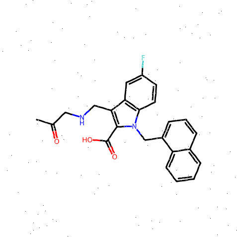 CC(=O)CNCc1c(C(=O)O)n(Cc2cccc3ccccc23)c2ccc(F)cc12